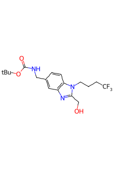 CC(C)(C)OC(=O)NCc1ccc2c(c1)nc(CO)n2CCCC(F)(F)F